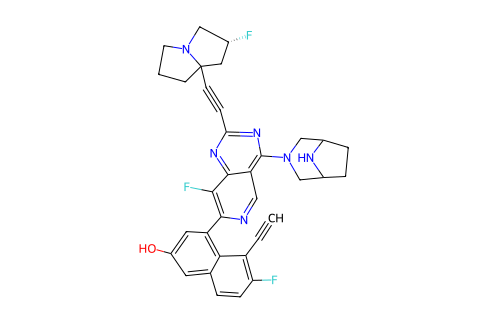 C#Cc1c(F)ccc2cc(O)cc(-c3ncc4c(N5CC6CCC(C5)N6)nc(C#CC56CCCN5C[C@H](F)C6)nc4c3F)c12